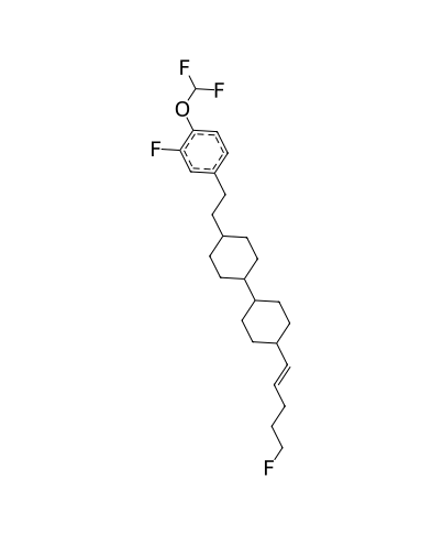 FCCCC=CC1CCC(C2CCC(CCc3ccc(OC(F)F)c(F)c3)CC2)CC1